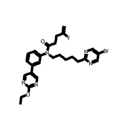 C=C(F)CCC(=O)N(CCCCCc1ncc(Br)cn1)c1cccc(-c2cnc(OCC)nc2)c1